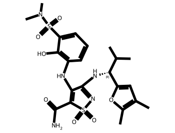 Cc1cc([C@H](NC2=NS(=O)(=O)C(C(N)=O)=C2Nc2cccc(S(=O)(=O)N(C)C)c2O)C(C)C)oc1C